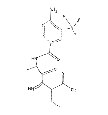 CCC(C(=N)C(=O)C(C)NC(=O)c1ccc(N)c(C(F)(F)F)c1)C(=O)O